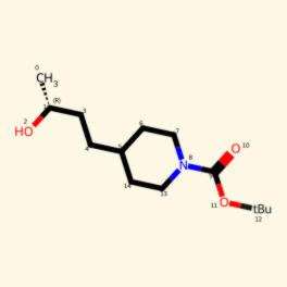 C[C@@H](O)CCC1CCN(C(=O)OC(C)(C)C)CC1